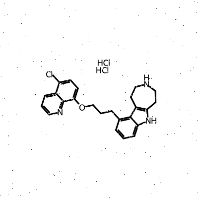 Cl.Cl.Clc1ccc(OCCCc2cccc3[nH]c4c(c23)CCNCC4)c2ncccc12